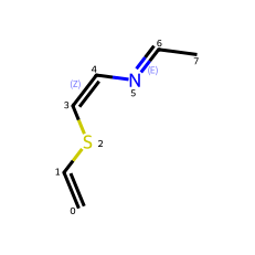 C=CS/C=C\N=C\C